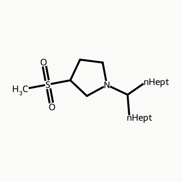 CCCCCCCC(CCCCCCC)N1CCC(S(C)(=O)=O)C1